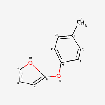 Cc1ccc(Oc2ccco2)cc1